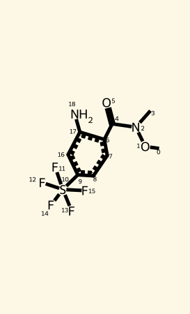 CON(C)C(=O)c1ccc(S(F)(F)(F)(F)F)cc1N